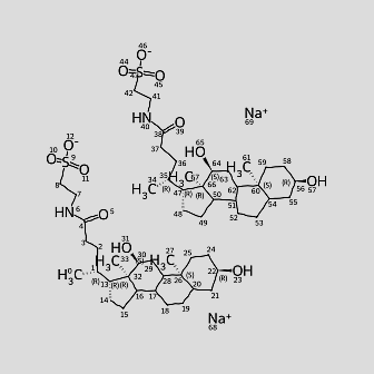 C[C@H](CCC(=O)NCCS(=O)(=O)[O-])[C@H]1CCC2C3CCC4C[C@H](O)CC[C@]4(C)C3C[C@H](O)[C@@]21C.C[C@H](CCC(=O)NCCS(=O)(=O)[O-])[C@H]1CCC2C3CCC4C[C@H](O)CC[C@]4(C)C3C[C@H](O)[C@@]21C.[Na+].[Na+]